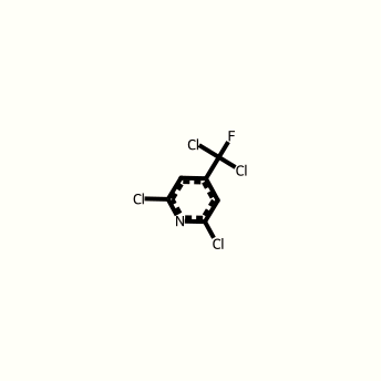 FC(Cl)(Cl)c1cc(Cl)nc(Cl)c1